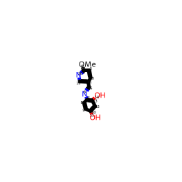 COc1ccc(C=Nc2ccc(O)cc2O)cn1